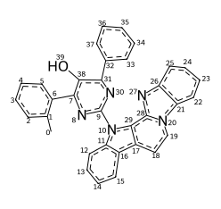 Cc1ccccc1-c1nc(-n2c3ccccc3c3ccn4c5ccccc5nc4c32)nc(-c2ccccc2)c1O